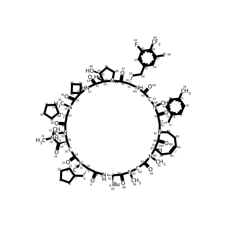 CC[C@H](C)[C@@H]1NC(=O)[C@H](CC2CCCC2)N(C)C(=O)C[C@@H](C(=O)N(C)C)N(C)C(=O)[C@H](C2CCCC2)N(C)C(=O)C2(CCC2)NC(=O)[C@@H]2[C@@H](O)CCN2C(=O)[C@H](CCc2cc(F)c(C(F)(F)F)c(F)c2)NC(=O)CN(C)C(=O)[C@H](Cc2ccc(C)cc2)N2CC/C=C\C[C@@H](C2=O)N(C)C(=O)CN(C)C1=O